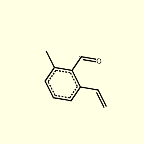 C=Cc1cccc(C)c1[C]=O